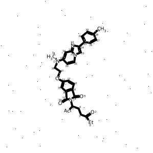 CCC(=O)CCC(C(C)=O)N1C(=O)c2ccc(OCCN(C)c3ccn4cc(-c5ccc(C)cc5)nc4c3)cc2C1=O